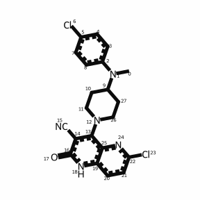 CN(c1ccc(Cl)cc1)C1CCN(c2c(C#N)c(=O)[nH]c3ccc(Cl)nc23)CC1